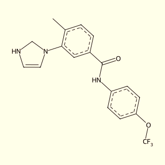 Cc1ccc(C(=O)Nc2ccc(OC(F)(F)F)cc2)cc1N1C=CNC1